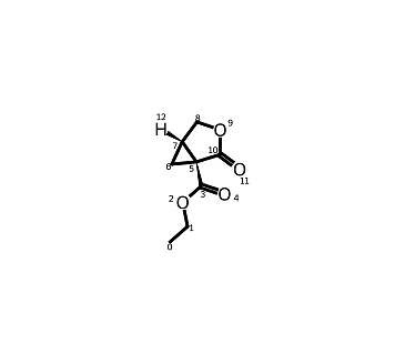 CCOC(=O)[C@@]12C[C@@H]1COC2=O